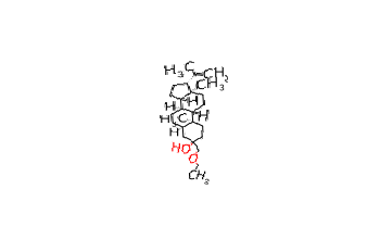 C=C(C)[C@H]1CC[C@H]2[C@@H]3CC[C@@H]4C[C@@](O)(COCC)CC[C@]4(C)[C@H]3CC[C@]12C